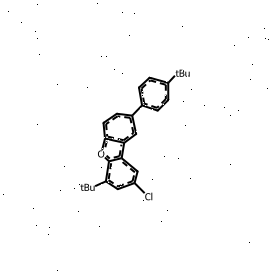 CC(C)(C)c1ccc(-c2ccc3oc4c(C(C)(C)C)cc(Cl)cc4c3c2)cc1